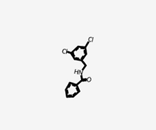 O=C(NCc1cc(Cl)cc(Cl)c1)c1ccccc1